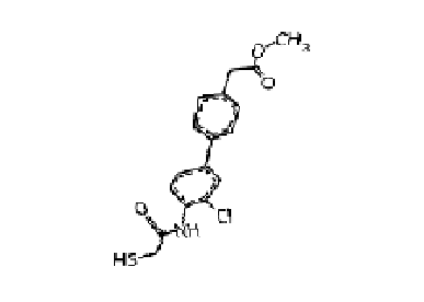 COC(=O)Cc1ccc(-c2ccc(NC(=O)CS)c(Cl)c2)cc1